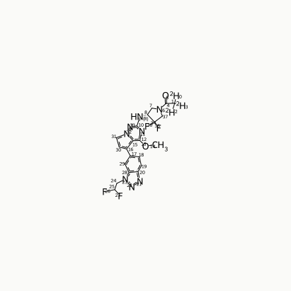 [2H]C([2H])([2H])C(=O)N1C[C@@H](Nc2nc(OC)c3c(-c4ccc5nnn(CC(F)F)c5c4)ccn3n2)C(F)(F)C1